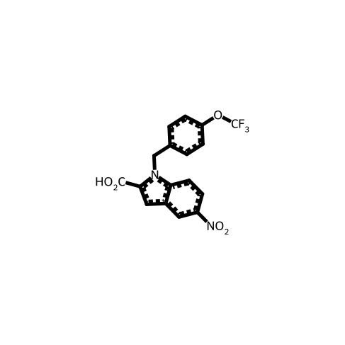 O=C(O)c1cc2cc([N+](=O)[O-])ccc2n1Cc1ccc(OC(F)(F)F)cc1